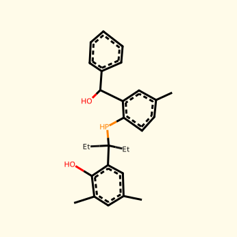 CCC(CC)(Pc1ccc(C)cc1C(O)c1ccccc1)c1cc(C)cc(C)c1O